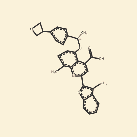 Cc1c(-c2cc(C(=O)O)c3c(O[C@@H](C)c4ccc(C5COC5)cc4)ccc(C)c3n2)oc2ccccc12